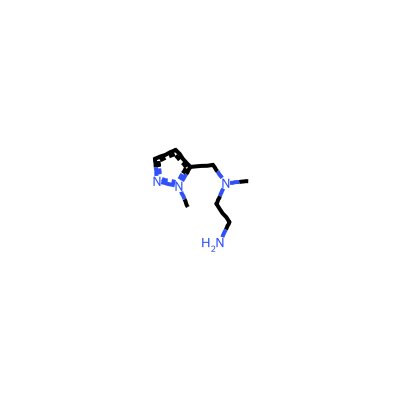 CN(CCN)Cc1ccnn1C